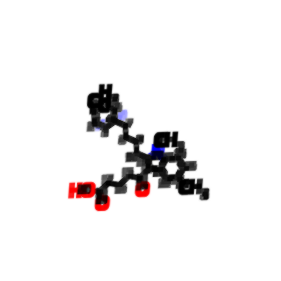 C#C/C=C\C(=C/C)CCCCc1c(C(=O)CCCC(=O)O)c2cc(C)ccc2n1C